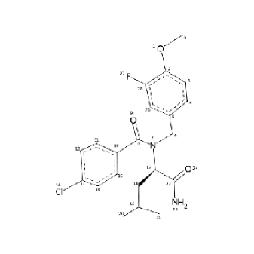 COc1ccc(CN(C(=O)c2ccc(Cl)cc2)[C@H](CC(C)C)C(N)=O)cc1F